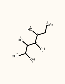 COCC(O)C(O)C(O)C(O)C=O